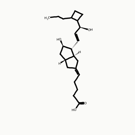 CCCC1CCC1[C@@H](O)/C=C/[C@@H]1[C@H]2C/C(=C/CCCC(=O)O)C[C@@H]2C[C@H]1O